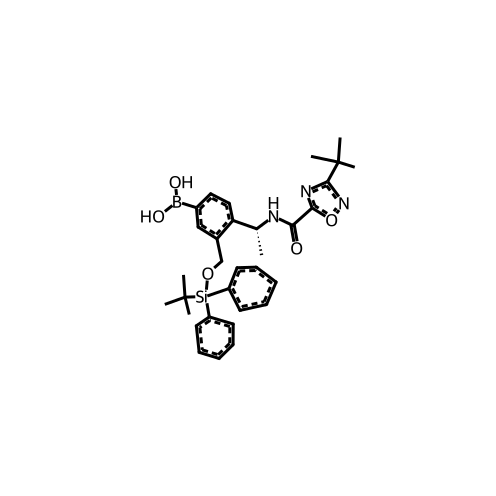 C[C@@H](NC(=O)c1nc(C(C)(C)C)no1)c1ccc(B(O)O)cc1CO[Si](c1ccccc1)(c1ccccc1)C(C)(C)C